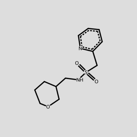 O=S(=O)(Cc1ccccn1)NCC1CCCOC1